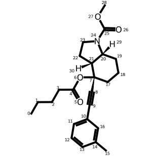 CCCCC(=O)O[C@@]1(C#Cc2cccc(C)c2)CCC[C@@H]2[C@H]1CCN2C(=O)OC